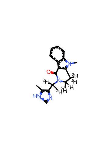 [2H]C([2H])(c1nc[nH]c1C)N1C(=O)c2c(n(C)c3ccccc23)C([2H])([2H])C1([2H])[2H]